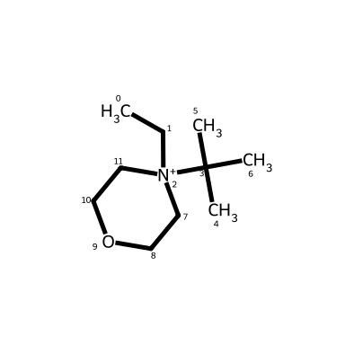 CC[N+]1(C(C)(C)C)CCOCC1